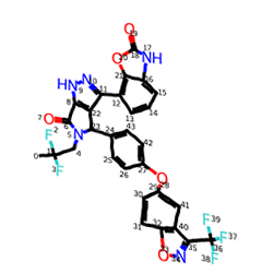 CC(F)(F)CN1C(=O)c2[nH]nc(-c3cccc4[nH]c(=O)oc34)c2C1c1ccc(Oc2ccc3onc(C(F)(F)F)c3c2)cc1